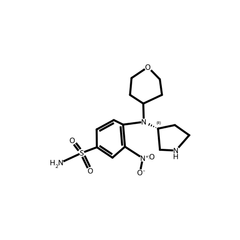 NS(=O)(=O)c1ccc(N(C2CCOCC2)[C@@H]2CCNC2)c([N+](=O)[O-])c1